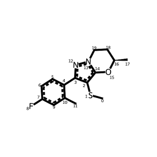 CSc1c(-c2ccc(F)cc2C)nn2c1O[C@H](C)CC2